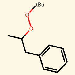 CC(Cc1ccccc1)OOC(C)(C)C